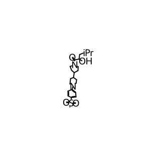 CC(C)CC(O)C(=O)N1CCC(C2CCN(c3ccc(S(C)(=O)=O)cc3)CC2)CC1